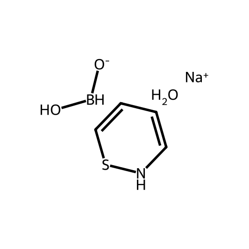 C1=CNSC=C1.O.[Na+].[O-]BO